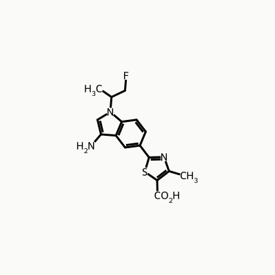 Cc1nc(-c2ccc3c(c2)c(N)cn3C(C)CF)sc1C(=O)O